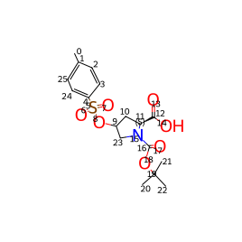 Cc1ccc(S(=O)(=O)OC2C[C@@H](C(=O)O)N(C(=O)OC(C)(C)C)C2)cc1